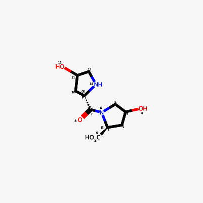 O=C(O)[C@@H]1CC(O)CN1C(=O)[C@@H]1CC(O)CN1